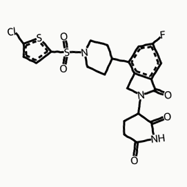 O=C1CCC(N2Cc3c(cc(F)cc3C3CCN(S(=O)(=O)c4ccc(Cl)s4)CC3)C2=O)C(=O)N1